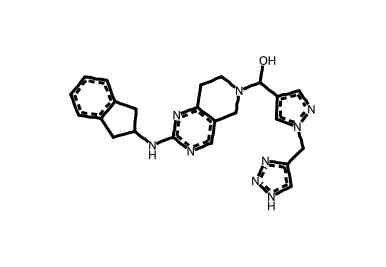 OC(c1cnn(Cc2c[nH]nn2)c1)N1CCc2nc(NC3Cc4ccccc4C3)ncc2C1